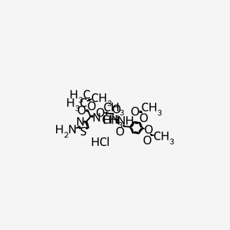 CC(=O)Oc1ccc(C(=O)NNC(=O)C(C)(C)ON=C(C(=O)OC(C)(C)C)c2csc(N)n2)cc1OC(C)=O.Cl